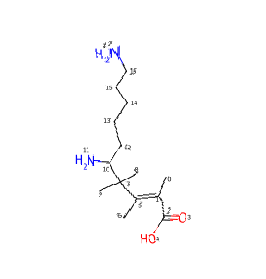 CC(C(=O)O)=C(C)C(C)(C)C(N)CCCCCN